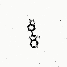 Nc1ccc(-c2nc3ccncc3[nH]2)cc1